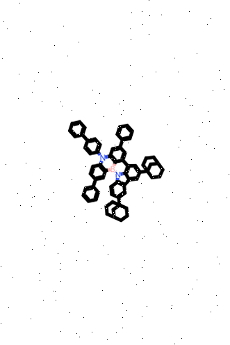 c1ccc(-c2ccc(N3c4ccc(-c5ccccc5)cc4B4c5c(cc(-c6ccccc6)cc53)-c3cc(C56CCCC(CCC5)C6)cc5c6cc(C78CCCC(CCC7)C8)ccc6n4c35)cc2)cc1